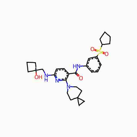 O=C(Nc1cccc(S(=O)(=O)C2CCCC2)c1)c1ccc(NCC2(O)CCC2)nc1N1CCC2(CC1)CC2